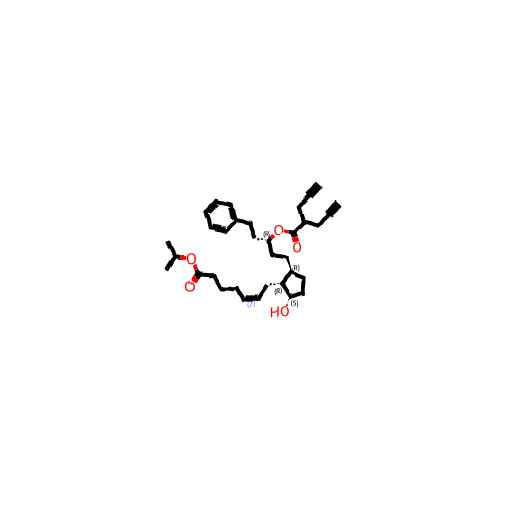 C#CCC(CC#C)C(=O)O[C@@H](CCc1ccccc1)CC[C@H]1CC[C@H](O)[C@@H]1C/C=C\CCCC(=O)OC(C)C